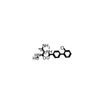 C[C@@H](N)[C@H](NC(=O)c1ccc(-c2ccccc2Cl)cc1)C(=O)NO